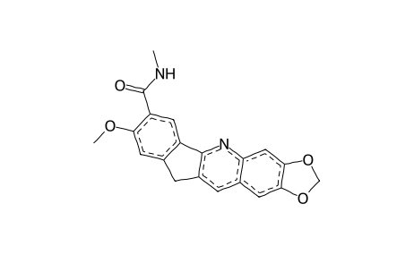 CNC(=O)c1cc2c(cc1OC)Cc1cc3cc4c(cc3nc1-2)OCO4